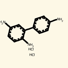 Cl.Cl.Nc1ccc(-c2cc(N)ccc2N)cc1